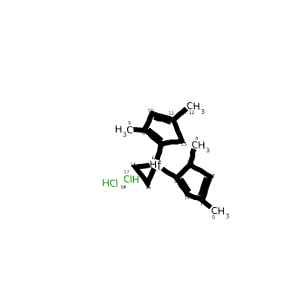 CC1=CC(C)[C]([Hf]2([C]3=C(C)C=C(C)C3)[CH2][CH2]2)=C1.Cl.Cl